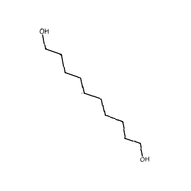 OCCCC[CH]CCCCCO